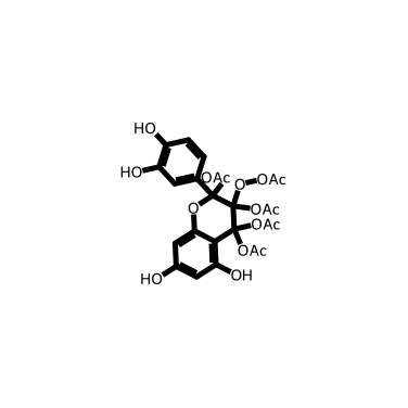 CC(=O)OOC1(OC(C)=O)C(OC(C)=O)(c2ccc(O)c(O)c2)Oc2cc(O)cc(O)c2C1(OC(C)=O)OC(C)=O